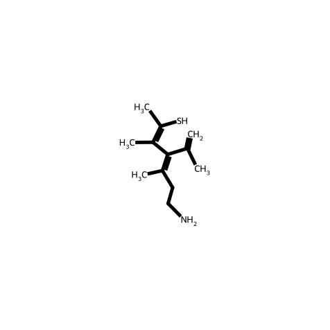 C=C(C)C(/C(C)=C(/C)S)=C(/C)CCN